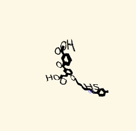 Cc1ccc(/C=C/CCCCOc2ccc(C(=O)c3cccc(C(=O)O)c3)cc2CCC(=O)O)c(S)c1